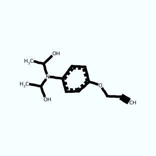 C#CCOc1ccc(N(C(C)O)C(C)O)cc1